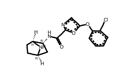 O=C(N[C@@H]1C[C@H]2CC[C@@H]1N2)c1ncc(Oc2ccccc2Cl)o1